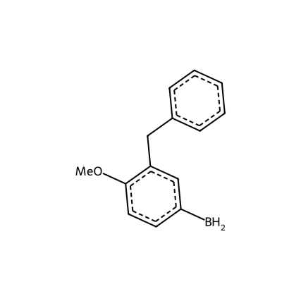 Bc1ccc(OC)c(Cc2ccccc2)c1